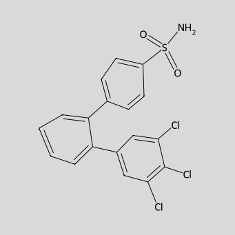 NS(=O)(=O)c1ccc(-c2ccccc2-c2cc(Cl)c(Cl)c(Cl)c2)cc1